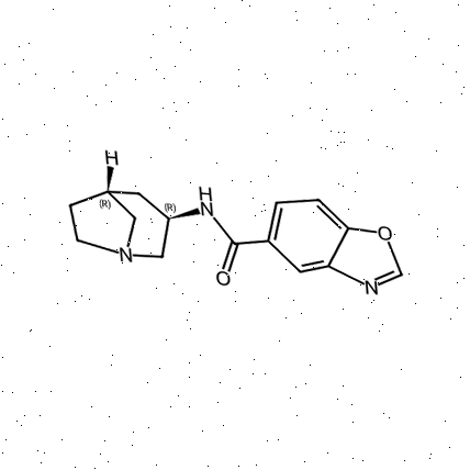 O=C(N[C@@H]1C[C@H]2CCN(C2)C1)c1ccc2ocnc2c1